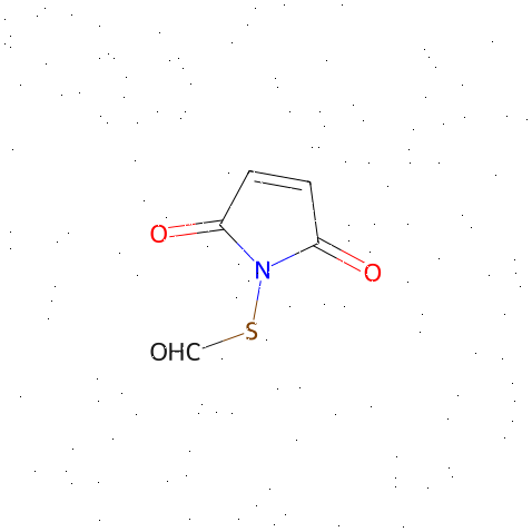 O=CSN1C(=O)C=CC1=O